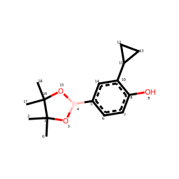 CC1(C)OB(c2ccc(O)c(C3CC3)c2)OC1(C)C